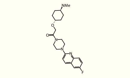 CN[C@H]1CC[C@H](OCC(=O)N2CCN(c3ccc4cc(F)ccc4n3)CC2)CC1